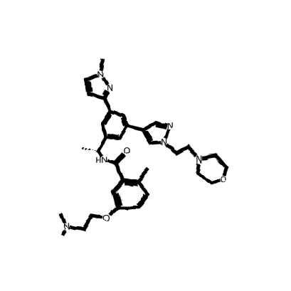 Cc1ccc(OCCN(C)C)cc1C(=O)N[C@H](C)c1cc(-c2cnn(CCN3CCOCC3)c2)cc(-c2ccn(C)n2)c1